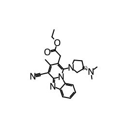 CCOC(=O)Cc1c(C)c(C#N)c2nc3ccccc3n2c1N1CC[C@H](N(C)C)C1